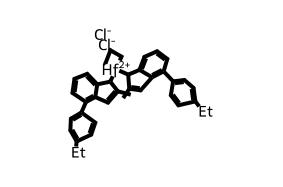 CCc1ccc(-c2cccc3c2C=C(C)[CH]3[Hf+2]2([CH]3C(C)=Cc4c(-c5ccc(CC)cc5)cccc43)[CH2]C[CH2]2)cc1.[Cl-].[Cl-]